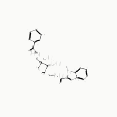 Cn1c(C(=O)NC[C@H]2OC[C@@](O)(CNC(=O)c3ccccc3)[C@@H]2O)cc2ccccc21